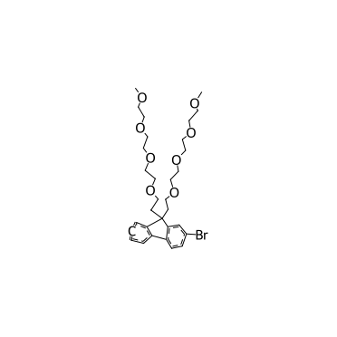 COCCOCCOCCOCCC1(CCOCCOCCOCCOC)c2ccccc2-c2ccc(Br)cc21